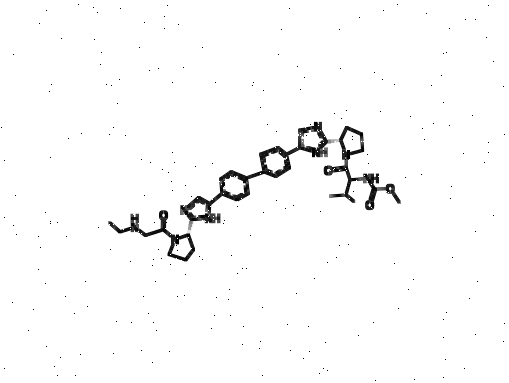 CCNCC(=O)N1CCC[C@H]1c1ncc(-c2ccc(-c3ccc(-c4cnc([C@@H]5CCCN5C(=O)C(NC(=O)OC)C(C)C)[nH]4)cc3)cc2)[nH]1